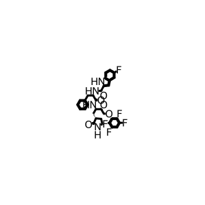 O=C(NC(Cc1ccccc1)C(=O)NC(C[C@@H]1CCNC1=O)C(=O)COc1c(F)c(F)cc(F)c1F)c1cc2cc(F)ccc2[nH]1